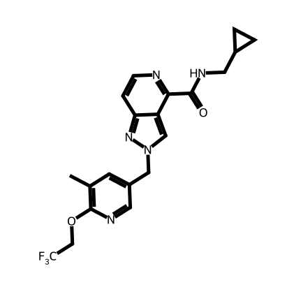 Cc1cc(Cn2cc3c(C(=O)NCC4CC4)nccc3n2)cnc1OCC(F)(F)F